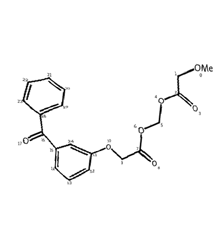 COCC(=O)OCOC(=O)COc1cccc(C(=O)c2ccccc2)c1